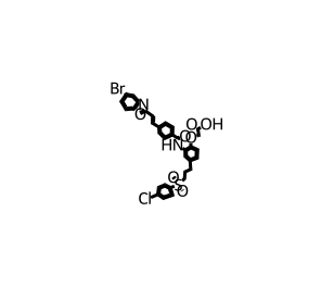 O=C(O)COc1ccc(CCCS(=O)(=O)c2ccc(Cl)cc2)cc1NC(=O)c1ccc(C=Cc2nc3cc(Br)ccc3o2)cc1